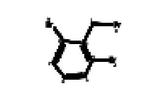 CC(C)[CH]c1c(Br)cccc1Br